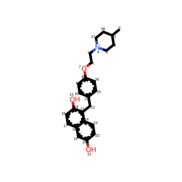 CC1CCN(CCOc2ccc(Cc3c(O)ccc4cc(O)ccc34)cc2)CC1